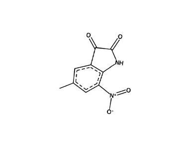 Cc1cc2c(c([N+](=O)[O-])c1)NC(=O)C2=O